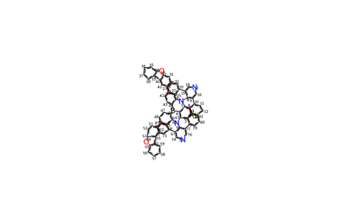 Clc1cc2c3c(c1)N(c1c(-c4ccccc4)cncc1-c1ccccc1)c1cc(-c4ccc5oc6ccccc6c5c4)ccc1B3c1ccc(-c3ccc4oc5ccccc5c4c3)cc1N2c1c(-c2ccccc2)cncc1-c1ccccc1